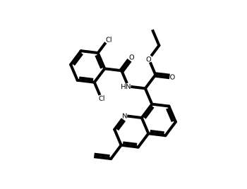 C=Cc1cnc2c(C(NC(=O)c3c(Cl)cccc3Cl)C(=O)OCC)cccc2c1